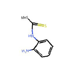 CSC(=S)Nc1ccccc1N